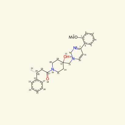 COc1ccccc1C1=NCN(CC2(O)CCN(C(=O)C[C@@H](C)c3ccccc3)CC2)C=C1